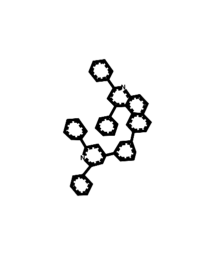 c1ccc(-c2cc(-c3cccc(-c4ccc5ccc6nc(-c7ccccc7)cc(-c7ccccc7)c6c5c4)c3)cc(-c3ccccc3)n2)cc1